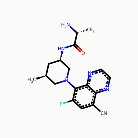 C[C@H]1C[C@@H](NC(=O)[C@H](N)C(F)(F)F)CN(c2c(F)cc(C#N)c3nccnc23)C1